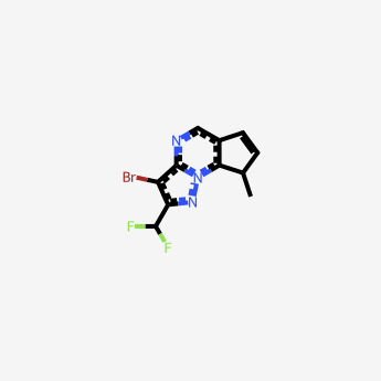 CC1C=Cc2cnc3c(Br)c(C(F)F)nn3c21